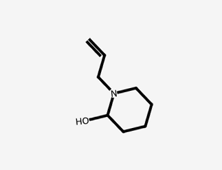 C=CCN1CCCCC1O